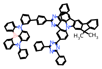 CC1(C)c2ccccc2-c2cc3c4ccccc4n(-c4ccc(-c5nc(-c6ccccc6)nc(-c6ccccc6)n5)cc4-c4cc(-c5ccccc5)nc(-c5ccc(-c6cccc(N7c8ccccc8B8c9ccccc9N(c9ccccc9)c9cccc7c98)c6)cc5)n4)c3cc21